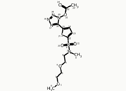 COCCOCCN(C)S(=O)(=O)c1ccc(-c2nnnn2OC(C)=O)s1